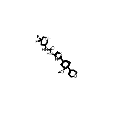 COc1cc(-c2nc(NC(=O)NC3CNCC(F)(F)C3)cs2)ccc1C1=CCOCC1